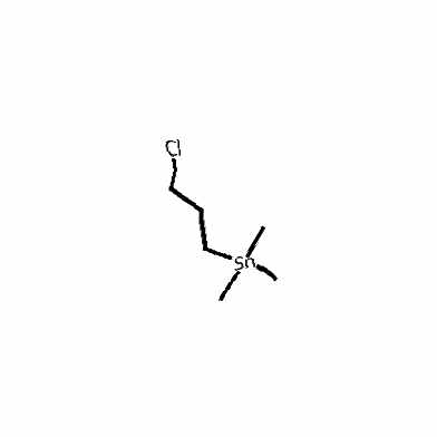 [CH3][Sn]([CH3])([CH3])[CH2]CCCl